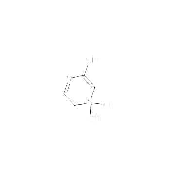 CCCC1=C[N+](C)(C)CC=N1